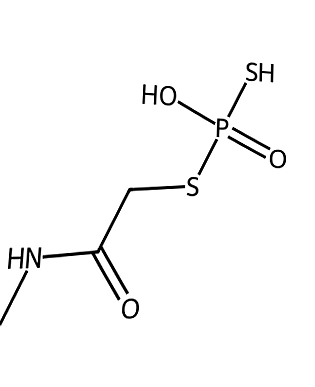 CNC(=O)CSP(=O)(O)S